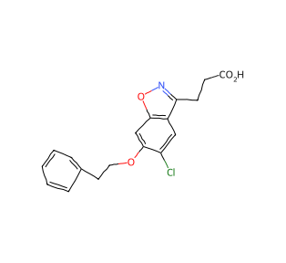 O=C(O)CCc1noc2cc(OCCc3ccccc3)c(Cl)cc12